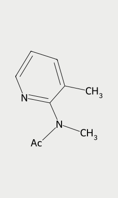 CC(=O)N(C)c1ncccc1C